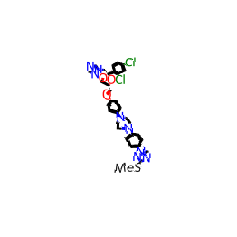 CSc1ncn(-c2ccc(N3CCN(c4ccc(OC[C@@H]5CO[C@@](Cn6cncn6)(c6ccc(Cl)cc6Cl)O5)cc4)CC3)cc2)n1